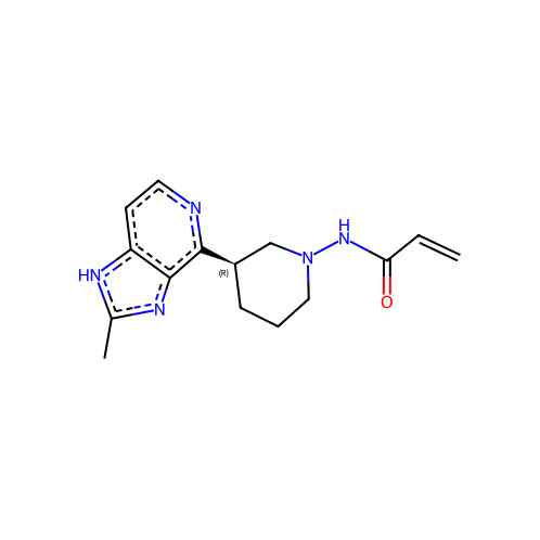 C=CC(=O)NN1CCC[C@@H](c2nccc3[nH]c(C)nc23)C1